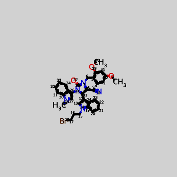 COc1ccc(Cn2c(C#N)c(-c3cn(CCCBr)c4ccccc34)n(-c3cn(C)c4ccccc34)c2=O)c(OC)c1